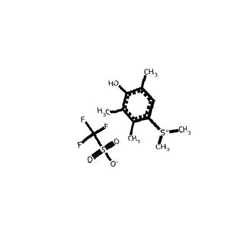 Cc1cc([S+](C)C)c(C)c(C)c1O.O=S(=O)([O-])C(F)(F)F